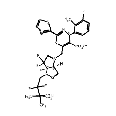 CCOC(=O)C1=C(CN2CC(F)(F)[C@H]3[C@@H]2CON3CC(F)(F)C(C)(C)C(=O)O)NC(c2nccs2)=N[C@H]1c1cccc(F)c1C